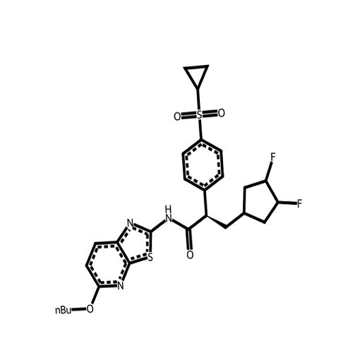 CCCCOc1ccc2nc(NC(=O)[C@H](CC3CC(F)C(F)C3)c3ccc(S(=O)(=O)C4CC4)cc3)sc2n1